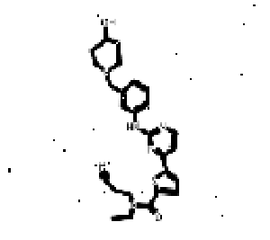 CCN(CCC#N)C(=O)c1ccc(-c2ccnc(Nc3cccc(CN4CCC(O)CC4)c3)n2)s1